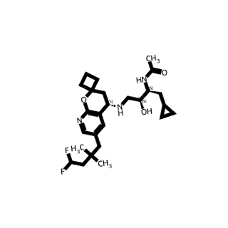 CC(=O)N[C@@H](CC1CC1)[C@@H](O)CN[C@H]1CC2(CCC2)Oc2ncc(CC(C)(C)CC(F)F)cc21